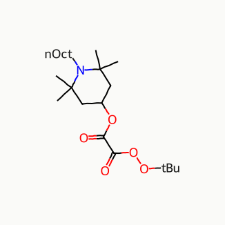 CCCCCCCCN1C(C)(C)CC(OC(=O)C(=O)OOC(C)(C)C)CC1(C)C